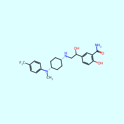 CN(c1ccc(C(F)(F)F)cc1)[C@H]1CC[C@@H](NCC(O)c2ccc(O)c(C(N)=O)c2)CC1